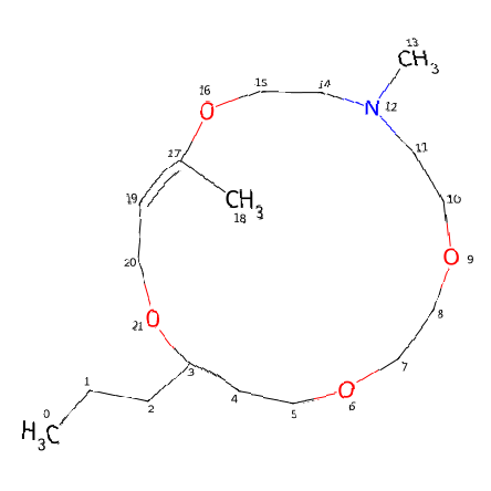 CCCC1CCOCCOCCN(C)CCO/C(C)=C/CO1